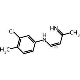 CC(=N)/C=C\Nc1ccc(C)c(Cl)c1